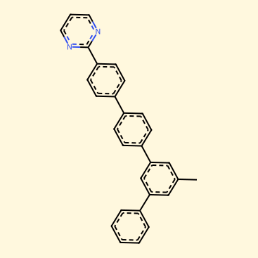 Cc1cc(-c2ccccc2)cc(-c2ccc(-c3ccc(-c4ncccn4)cc3)cc2)c1